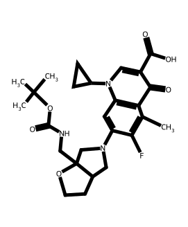 Cc1c(F)c(N2CC3CCOC3(CNC(=O)OC(C)(C)C)C2)cc2c1c(=O)c(C(=O)O)cn2C1CC1